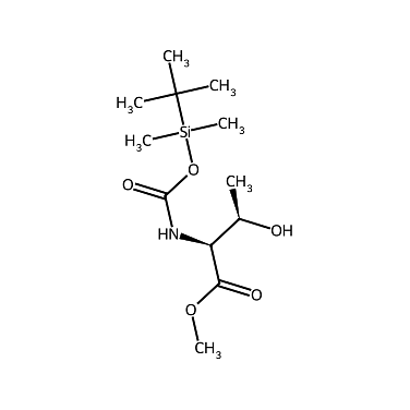 COC(=O)[C@@H](NC(=O)O[Si](C)(C)C(C)(C)C)[C@@H](C)O